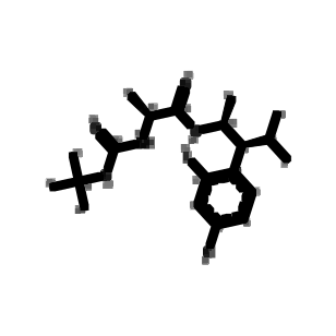 CC(C)[C@@H](c1ccc(Cl)cc1F)[C@H](C)OC(=O)[C@H](C)NC(=O)OC(C)(C)C